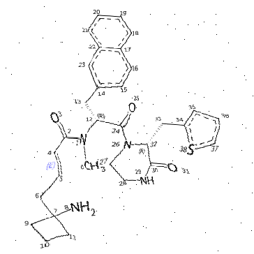 CN(C(=O)/C=C/CC1(N)CCC1)[C@H](Cc1ccc2ccccc2c1)C(=O)N1CCNC(=O)[C@H]1Cc1cccs1